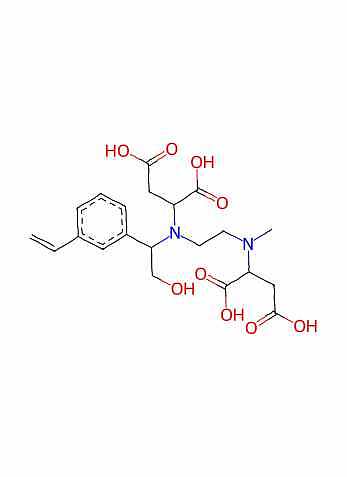 C=Cc1cccc(C(CO)N(CCN(C)C(CC(=O)O)C(=O)O)C(CC(=O)O)C(=O)O)c1